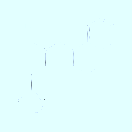 CN(CCc1cccs1)CC1CCCc2ccccc21.Cl